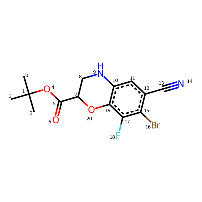 CC(C)(C)OC(=O)C1CNc2cc(C#N)c(Br)c(F)c2O1